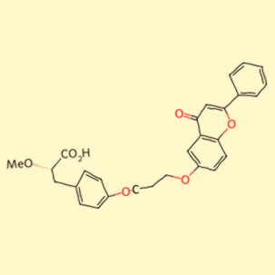 CO[C@@H](Cc1ccc(OCCCOc2ccc3oc(-c4ccccc4)cc(=O)c3c2)cc1)C(=O)O